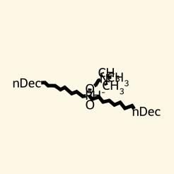 CCCCCCCCCCCCCCCCCC[PH-](OCC[N+](C)(C)C)C(=O)CCCCCCCCCCCCCCCCC